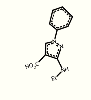 CCNc1nn(-c2ccccc2)cc1C(=O)O